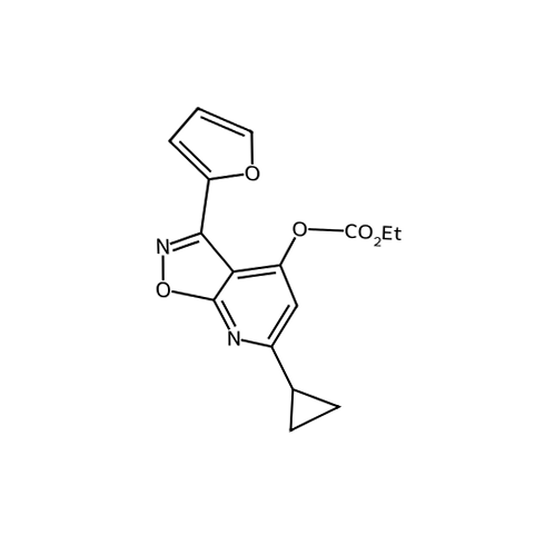 CCOC(=O)Oc1cc(C2CC2)nc2onc(-c3ccco3)c12